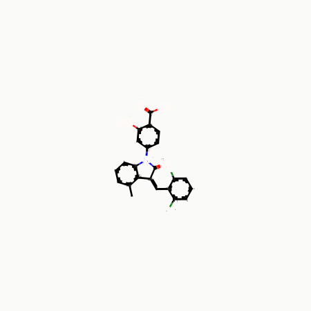 Cc1cccc2c1/C(=C/c1c(Cl)cccc1Br)C(=O)N2c1ccc(C(=O)O)c(O)c1